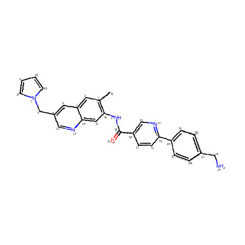 Cc1cc2cc(Cn3cccc3)cnc2cc1NC(=O)c1ccc(-c2ccc(CN)cc2)nc1